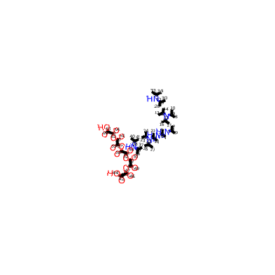 CC(C)N.CC(C)N.CC(C)N(C(C)C)C(C)C.CC(C)N(C(C)C)C(C)C.CC(C)NC(C)C.CC(C)NC(C)C.O=C(O)C(=O)OC(=O)C(=O)OC(=O)C(=O)OC(=O)C(=O)OC(=O)C(=O)O